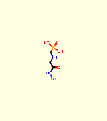 O=C(CNCP(=O)(O)O)NO